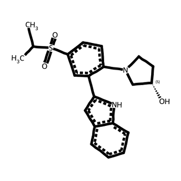 CC(C)S(=O)(=O)c1ccc(N2CC[C@H](O)C2)c(-c2cc3ccccc3[nH]2)c1